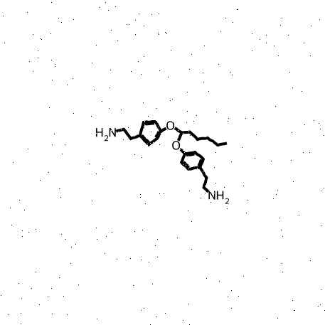 CCCCCC(Oc1ccc(CCN)cc1)Oc1ccc(CCN)cc1